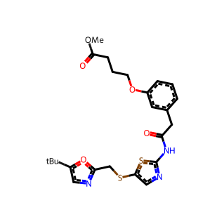 COC(=O)CCCOc1cccc(CC(=O)Nc2ncc(SCc3ncc(C(C)(C)C)o3)s2)c1